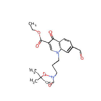 CCOC(=O)c1cn(CCCN(C=O)OC(C)(C)C)c2cc(C=O)ccc2c1=O